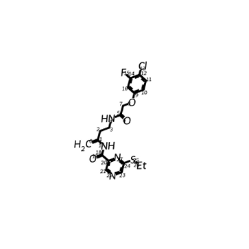 C=C(CCNC(=O)COc1ccc(Cl)c(F)c1)NC(=O)c1cncc(SCC)n1